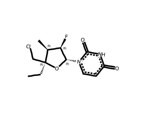 CC[C@@]1(CCl)O[C@@H](n2ccc(=O)[nH]c2=O)[C@H](F)[C@@H]1C